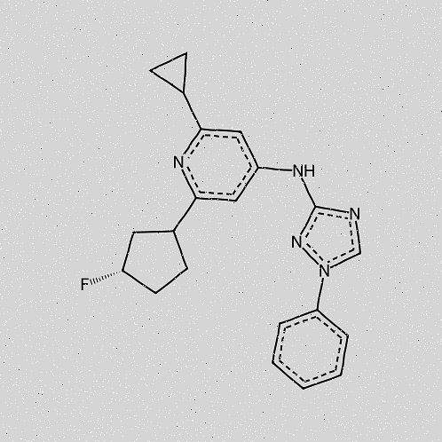 F[C@H]1CCC(c2cc(Nc3ncn(-c4ccccc4)n3)cc(C3CC3)n2)C1